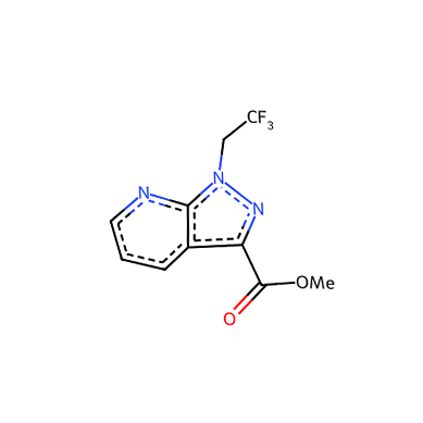 COC(=O)c1nn(CC(F)(F)F)c2ncccc12